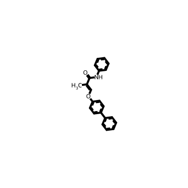 C/C(=C\Oc1ccc(-c2ccccc2)cc1)C(=O)Nc1ccccc1